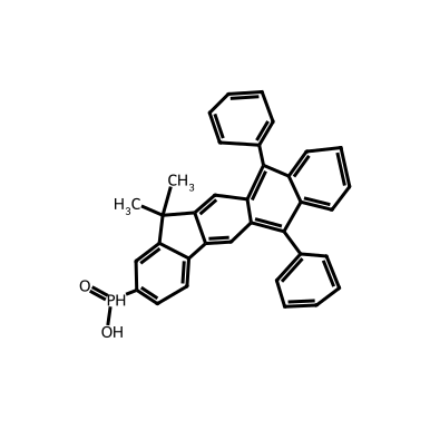 CC1(C)c2cc([PH](=O)O)ccc2-c2cc3c(-c4ccccc4)c4ccccc4c(-c4ccccc4)c3cc21